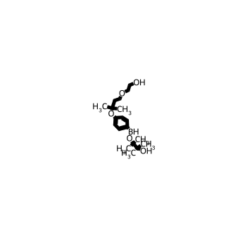 CC(C)(CCOCCO)Oc1ccc(BOC(C)(C)C(C)(C)O)cc1